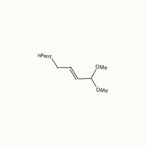 CCCCCC/C=C/C(OC)OC